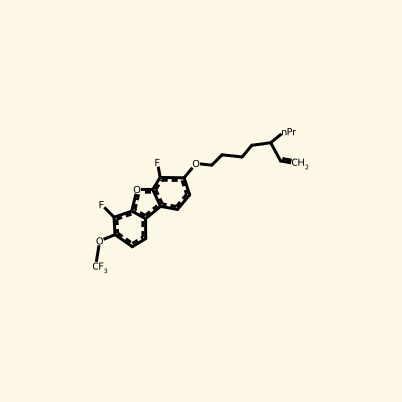 C=CC(CCC)CCCCOc1ccc2c(oc3c(F)c(OC(F)(F)F)ccc32)c1F